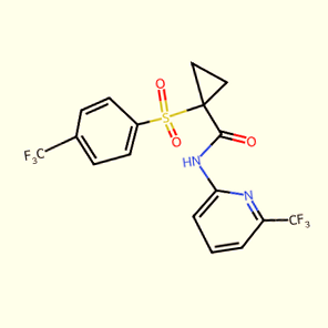 O=C(Nc1cccc(C(F)(F)F)n1)C1(S(=O)(=O)c2ccc(C(F)(F)F)cc2)CC1